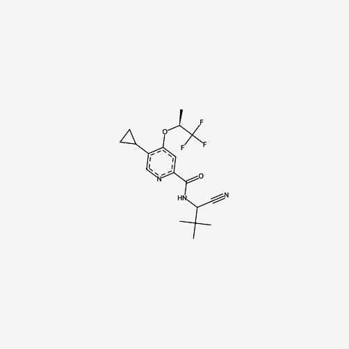 C[C@H](Oc1cc(C(=O)NC(C#N)C(C)(C)C)ncc1C1CC1)C(F)(F)F